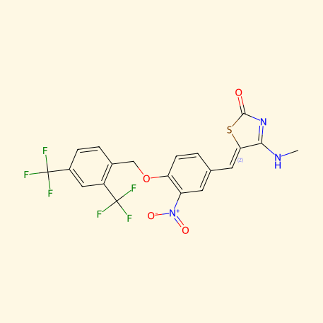 CNC1=NC(=O)S/C1=C\c1ccc(OCc2ccc(C(F)(F)F)cc2C(F)(F)F)c([N+](=O)[O-])c1